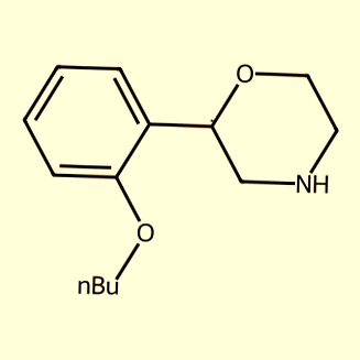 CCCCOc1ccccc1[C]1CNCCO1